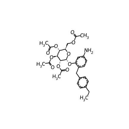 CCc1ccc(Cc2ccc(N)cc2O[C@H]2O[C@H](COC(C)=O)[C@@H](OC(C)=O)[C@H](OC(C)=O)[C@H]2OC(C)=O)cc1